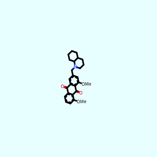 COc1cccc2c1C(=O)c1c(OC)cc(CN3CCCC4CCCCC43)cc1C2=O